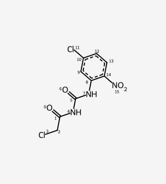 O=C(CCl)NC(=O)Nc1cc(Cl)ccc1[N+](=O)[O-]